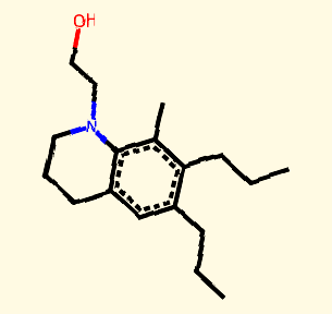 CCCc1cc2c(c(C)c1CCC)N(CCO)CCC2